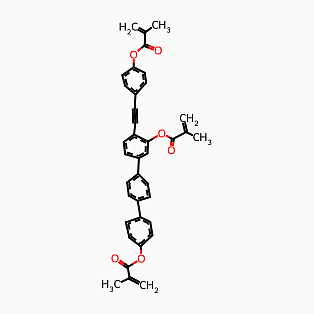 C=C(C)C(=O)Oc1ccc(C#Cc2ccc(-c3ccc(-c4ccc(OC(=O)C(=C)C)cc4)cc3)cc2OC(=O)C(=C)C)cc1